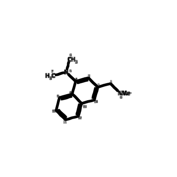 C[N]Cc1cc(N(C)C)c2ccccc2c1